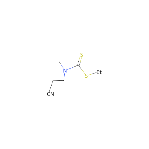 CCSC(=S)N(C)CCC#N